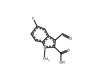 Cn1c(C(=O)O)c(C=O)c2cc(F)ccc21